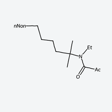 CCCCCCCCCCCCCC(C)(C)N(CC)C(=O)C(C)=O